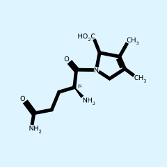 CC1=C(C)C(C(=O)O)N(C(=O)[C@@H](N)CCC(N)=O)C1